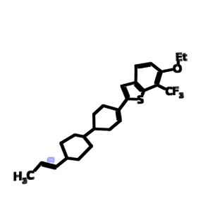 C/C=C/C1CCC(C2CC=C(c3cc4ccc(OCC)c(C(F)(F)F)c4s3)CC2)CC1